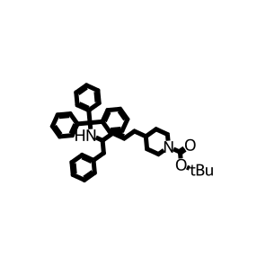 CC(C)(C)OC(=O)N1CCC(CC=CC(Cc2ccccc2)NC(c2ccccc2)(c2ccccc2)c2ccccc2)CC1